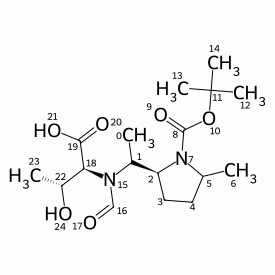 CC([C@@H]1CCC(C)N1C(=O)OC(C)(C)C)N(C=O)[C@H](C(=O)O)[C@@H](C)O